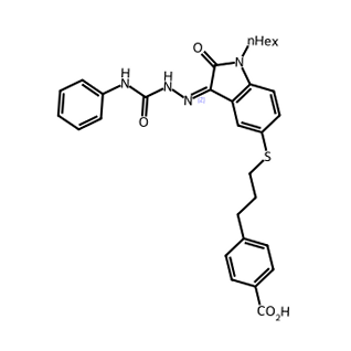 CCCCCCN1C(=O)/C(=N\NC(=O)Nc2ccccc2)c2cc(SCCCc3ccc(C(=O)O)cc3)ccc21